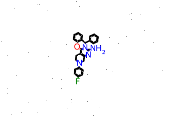 Nc1nc2c(c(=O)n1C(c1ccccc1)c1ccccc1)CCN(c1ccc(F)cc1)C2